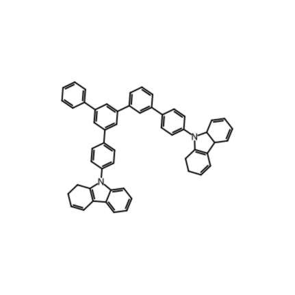 C1=CC2C3=C(CCC=C3)N(c3ccc(-c4cccc(-c5cc(-c6ccccc6)cc(-c6ccc(-n7c8c(c9ccccc97)C=CCC8)cc6)c5)c4)cc3)C2C=C1